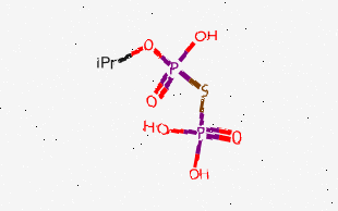 CC(C)OP(=O)(O)SP(=O)(O)O